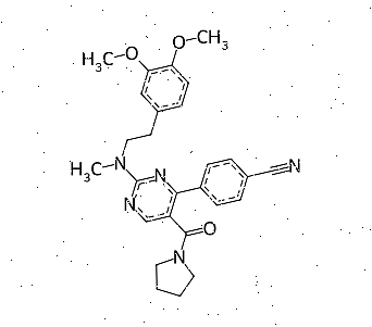 COc1ccc(CCN(C)c2ncc(C(=O)N3CCCC3)c(-c3ccc(C#N)cc3)n2)cc1OC